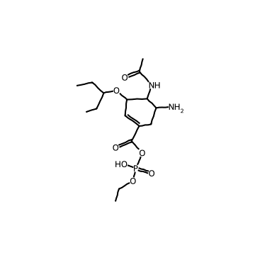 CCOP(=O)(O)OC(=O)C1=CC(OC(CC)CC)C(NC(C)=O)C(N)C1